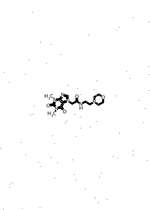 Cn1c(=O)c2c(ncn2CC(=O)NCCN2CCOCC2)n(C)c1=O